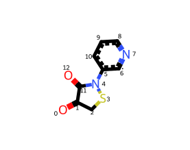 O=C1CSN(c2[c]nccc2)C1=O